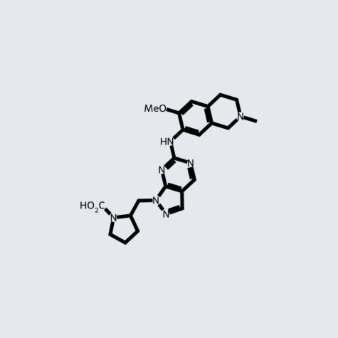 COc1cc2c(cc1Nc1ncc3cnn(CC4CCCN4C(=O)O)c3n1)CN(C)CC2